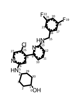 O[C@H]1CC[C@H](Nc2cc(-c3cccc(NCc4cc(F)cc(F)c4)n3)c(Cl)cn2)CC1